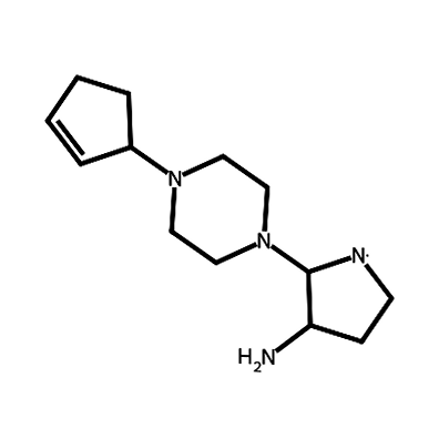 NC1CC[N]C1N1CCN(C2C=CCC2)CC1